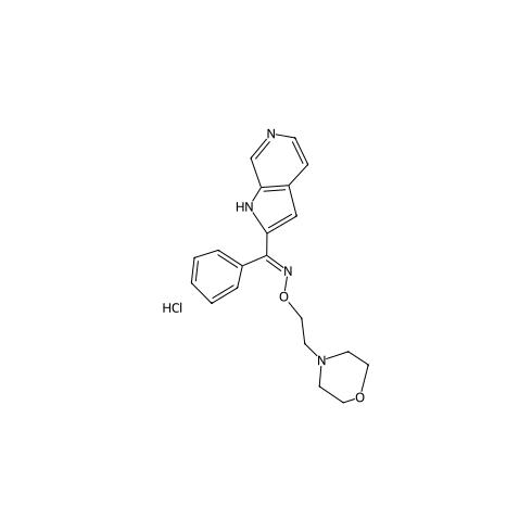 Cl.c1ccc(C(=NOCCN2CCOCC2)c2cc3ccncc3[nH]2)cc1